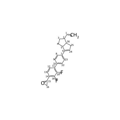 C=CC1CCC2C(c3ccc(-c4ccc(C5CO5)c(F)c4F)cc3)=CCC12